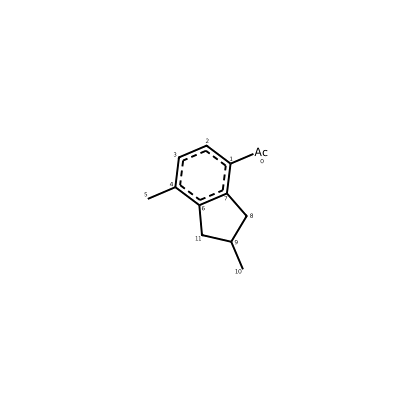 CC(=O)c1ccc(C)c2c1CC(C)C2